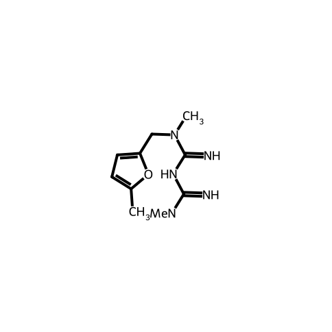 CNC(=N)NC(=N)N(C)Cc1ccc(C)o1